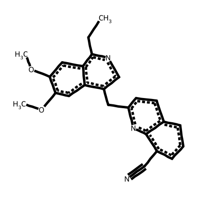 CCc1ncc(Cc2ccc3cccc(C#N)c3n2)c2cc(OC)c(OC)cc12